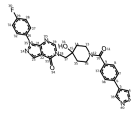 N#CCn1cc(-c2ccc(C(=O)N3CCC(O)(Cn4cnc5c(cnn5-c5ccc(F)cc5)c4=O)CC3)cc2)cn1